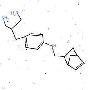 NCC(CN)Cc1ccc(NCC2CC3C=CC2C3)cc1